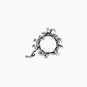 C/C=C/C[C@@H](C)[C@@H](O)[C@H]1C(=O)N[C@@H](CC)C(=O)N(C)[C@H](C)C(=O)N(C)[C@@H]([C@H](C)COCCN2CC[C@H](OC)C2)C(=O)N[C@@H](C(C)C)C(=O)N(C)[C@@H](CCC(C)C)C(=O)N[C@@H](C)C(=O)N[C@H](C)C(=O)N(C)[C@@H](CC(C)C)C(=O)N(C)[C@@H](CC(C)C)C(=O)N(C)[C@@H](C(C)C)C(=O)N1C